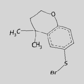 CC1(C)CCOc2ccc(SBr)cc21